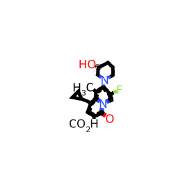 Cc1c(N2CCC[C@@H](O)C2)c(F)cn2c(=O)c(C(=O)O)cc(C3CC3)c12